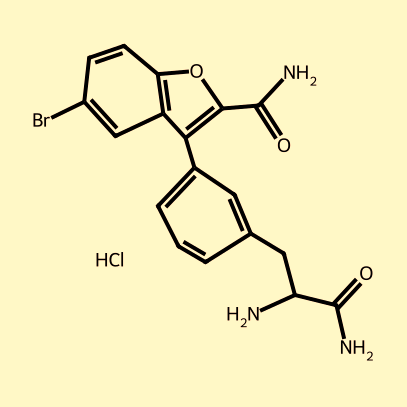 Cl.NC(=O)c1oc2ccc(Br)cc2c1-c1cccc(CC(N)C(N)=O)c1